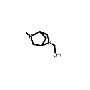 CN1CC2CC1CN2CO